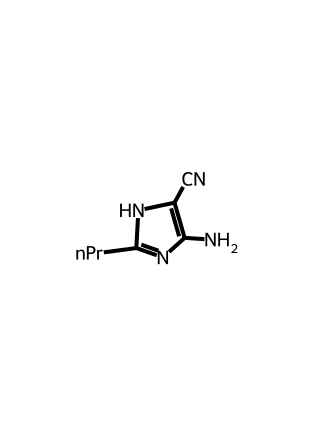 CCCc1nc(N)c(C#N)[nH]1